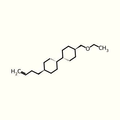 C=CCC[C@H]1CC[C@H]([C@H]2CC[C@H](COCC)CC2)CC1